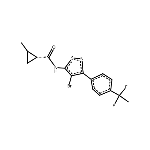 CC1C[C@H]1C(=O)Nc1snc(-c2ccc(C(C)(F)F)cc2)c1Br